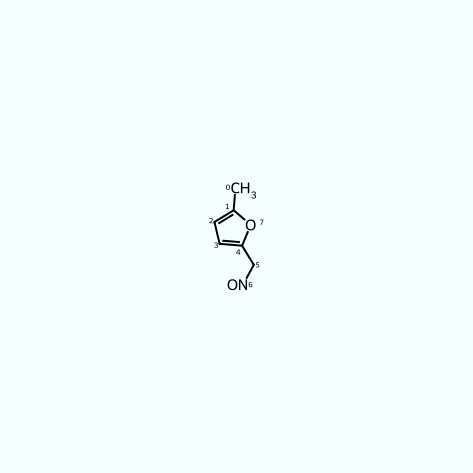 Cc1ccc(CN=O)o1